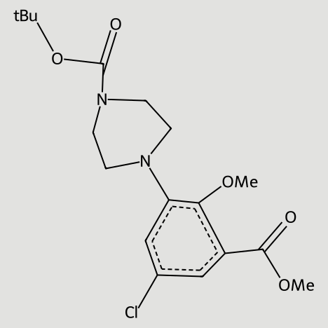 COC(=O)c1cc(Cl)cc(N2CCN(C(=O)OC(C)(C)C)CC2)c1OC